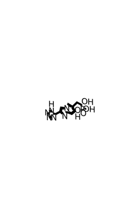 O=P(O)(O)C(O)Cc1ccc2nc(-c3nnn[nH]3)cn2c1